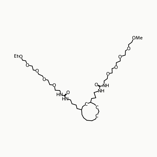 CCOCCOCCOCCOCCOCCNC(=O)NCCCCC1CCCCCCCCCC(CCCNC(=O)NCCOCCOCCOCCOCCOC)CC1